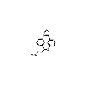 CNCCC(Oc1cccc(-c2nccs2)c1)c1ccccc1